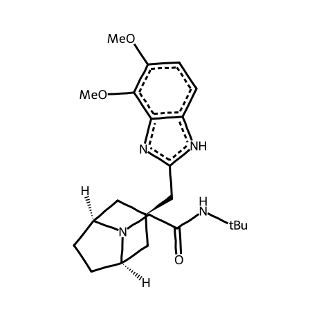 COc1ccc2[nH]c(C[C@H]3C[C@H]4CC[C@@H](C3)N4CC(=O)NC(C)(C)C)nc2c1OC